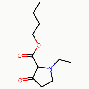 CCCCOC(=O)C1C(=O)CCN1CC